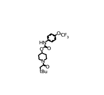 CC(C)(C)CC(=O)N1CCC(OC(=O)Nc2ccc(OC(F)(F)F)cc2)CC1